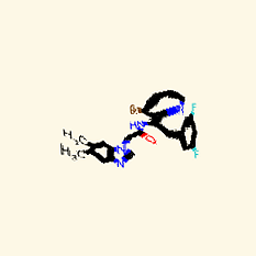 Cc1cc2ncn(CC(=O)NC(Cc3cc(F)cc(F)c3)c3ncccc3Br)c2cc1C